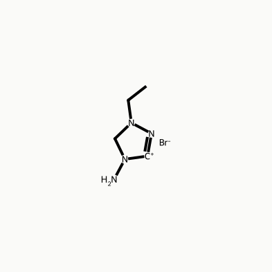 CCN1CN(N)[C+]=N1.[Br-]